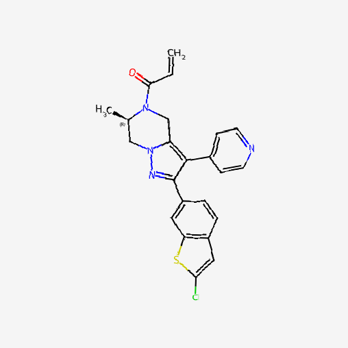 C=CC(=O)N1Cc2c(-c3ccncc3)c(-c3ccc4cc(Cl)sc4c3)nn2C[C@H]1C